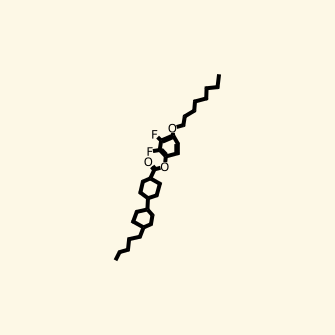 CCCCCCCCOc1ccc(OC(=O)C2CCC(C3CCC(CCCCC)CC3)CC2)c(F)c1F